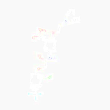 CCN(CC)CCOc1ccc(NC(=O)COc2ccc(C(F)(F)F)cc2Cl)cc1C(=O)O